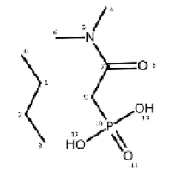 CCCC.CN(C)C(=O)CP(=O)(O)O